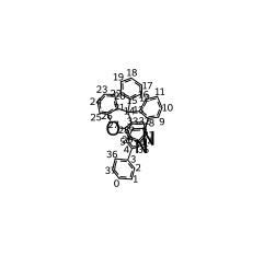 c1ccc(-c2ccc(-c3ccccc3C3(c4ccccc4)c4ccccc4Oc4ccccc43)nn2)cc1